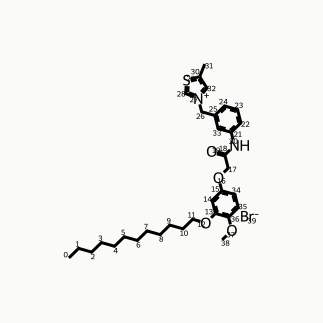 CCCCCCCCCCCCOc1cc(OCC(=O)Nc2cccc(C[n+]3csc(C)c3)c2)ccc1OC.[Br-]